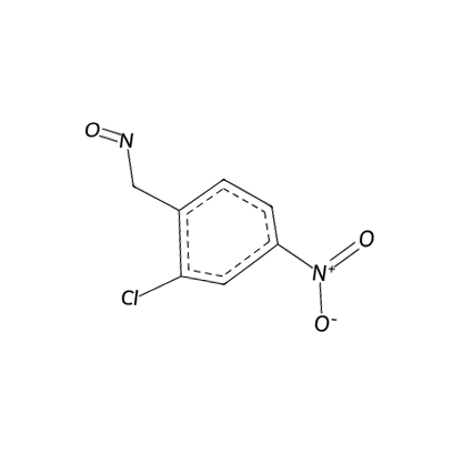 O=NCc1ccc([N+](=O)[O-])cc1Cl